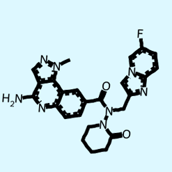 Cn1ncc2c(N)nc3ccc(C(=O)N(Cc4cn5cc(F)ccc5n4)N4CCCCC4=O)cc3c21